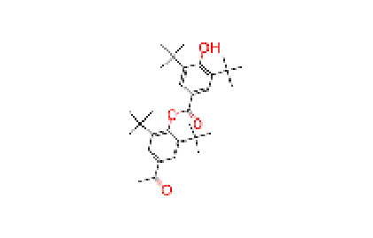 CC(=O)c1cc(C(C)(C)C)c(OC(=O)c2cc(C(C)(C)C)c(O)c(C(C)(C)C)c2)c(C(C)(C)C)c1